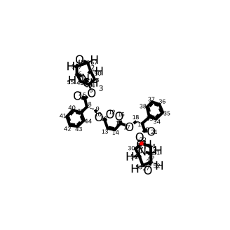 CN1[C@@H]2C[C@@H](OC(=O)[C@H](COC(=O)/C=C\C(=O)OC[C@@H](C(=O)O[C@@H]3C[C@@H]4[C@H]5O[C@H]5[C@H](C3)N4C)c3ccccc3)c3ccccc3)C[C@H]1[C@@H]1O[C@@H]12